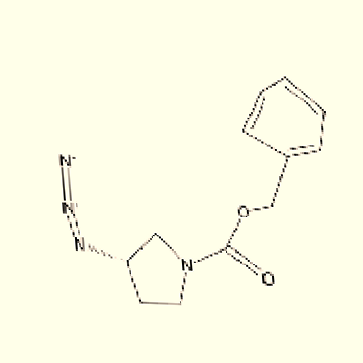 [N-]=[N+]=N[C@H]1CCN(C(=O)OCc2ccccc2)C1